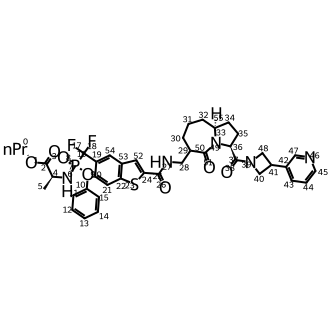 CCCOC(=O)[C@H](C)NP(=O)(Oc1ccccc1)C(F)(F)c1ccc2sc(C(=O)NCC3CCC[C@H]4CC[C@@H](C(=O)N5CC(c6cccnc6)C5)N4C3=O)cc2c1